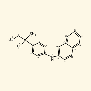 CC(C)(C)CC(C)(C)c1ccc(Nc2ccc3ccccc3c2)cc1